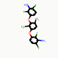 Nc1c(F)ccc(Oc2ccc(C(F)(F)F)c(Oc3ccc(F)c(N)c3F)c2C(F)(F)F)c1F